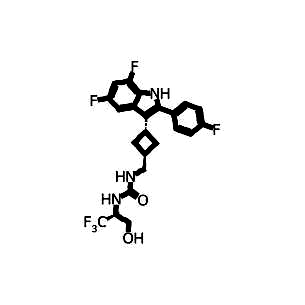 O=C(NC[C@H]1C[C@H](c2c(-c3ccc(F)cc3)[nH]c3c(F)cc(F)cc32)C1)N[C@@H](CO)C(F)(F)F